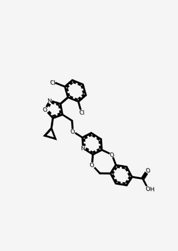 O=C(O)c1ccc2c(c1)Oc1ccc(OCc3c(-c4c(Cl)cccc4Cl)noc3C3CC3)nc1OC2